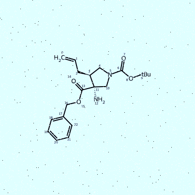 C=CC[C@H]1CN(C(=O)OC(C)(C)C)C[C@@]1(N)C(=O)OCc1ccccc1